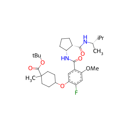 COc1cc(F)c(OC2CCC(C)(C(=O)OC(C)(C)C)CC2)cc1C(=O)N[C@@H]1CCC[C@@H]1C(=O)N[C@@H](C)C(C)C